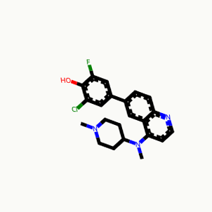 CN1CCC(N(C)c2[c]cnc3ccc(-c4cc(F)c(O)c(Cl)c4)cc23)CC1